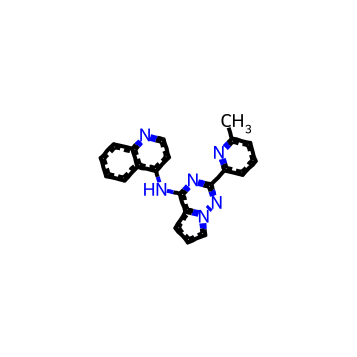 Cc1cccc(-c2nc(Nc3ccnc4ccccc34)c3cccn3n2)n1